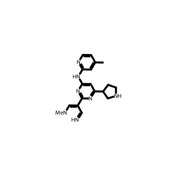 CN/C=C(\C=N)c1nc(Nc2cc(C)ccn2)cc(C2CCNC2)n1